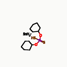 S=P(S)(OC1CCCCC1)OC1CCCCC1.[SnH2]